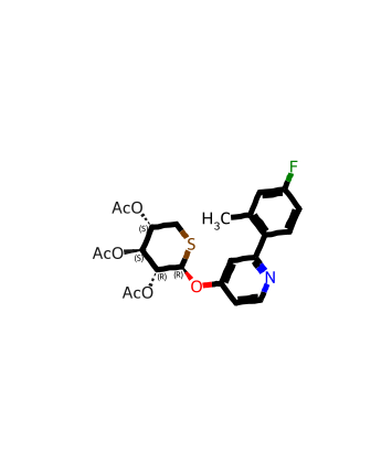 CC(=O)O[C@@H]1[C@@H](OC(C)=O)[C@H](OC(C)=O)CS[C@H]1Oc1ccnc(-c2ccc(F)cc2C)c1